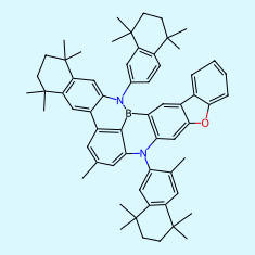 Cc1cc2c3c(c1)N(c1cc4c(cc1C)C(C)(C)CCC4(C)C)c1cc4oc5ccccc5c4cc1B3N(c1ccc3c(c1)C(C)(C)CCC3(C)C)c1cc3c(cc1-2)C(C)(C)CCC3(C)C